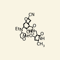 CCN(c1cc2oc(C#N)cc2c(C(=O)NCc2c(OC)cc(C)[nH]c2=O)c1C)C1CCOCC1